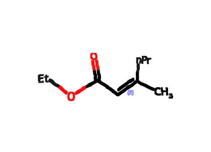 CCC/C(C)=C\C(=O)OCC